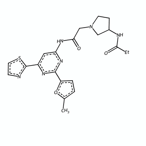 CCC(=O)NC1CCN(CC(=O)Nc2cc(-c3nccs3)nc(-c3ccc(C)o3)n2)C1